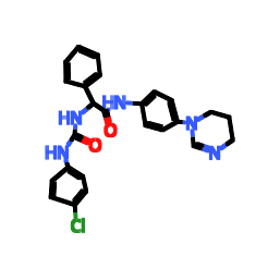 O=C(Nc1ccc(Cl)cc1)NC(C(=O)Nc1ccc(N2C=NCCC2)cc1)c1ccccc1